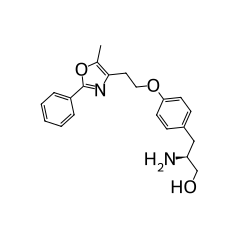 Cc1oc(-c2ccccc2)nc1CCOc1ccc(C[C@H](N)CO)cc1